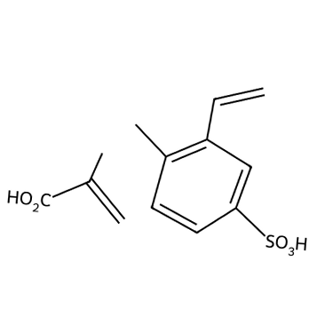 C=C(C)C(=O)O.C=Cc1cc(S(=O)(=O)O)ccc1C